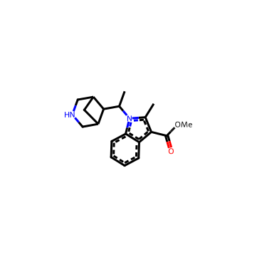 COC(=O)c1c(C)n(C(C)C2C3CNCC2C3)c2ccccc12